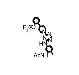 CC(=O)Nc1cc(Nc2ncnc(N3CC=C(c4ccccc4OC(F)(F)F)CC3)n2)ccc1C